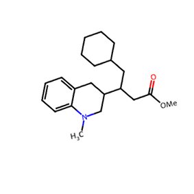 COC(=O)CC(CC1CCCCC1)C1Cc2ccccc2N(C)C1